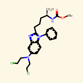 CC(C)(C)OC(=O)N[C@@H](CCCc1nc2cc(N(CCCl)CCCl)ccc2n1-c1ccccc1)C(=O)O